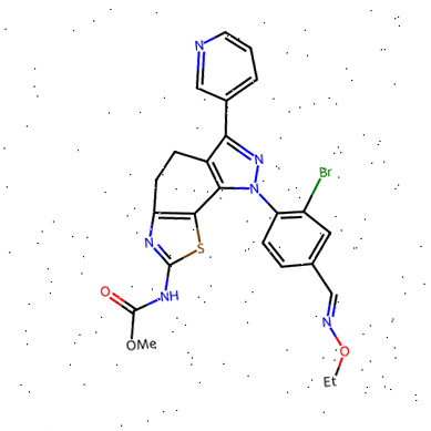 CCON=Cc1ccc(-n2nc(-c3cccnc3)c3c2-c2sc(NC(=O)OC)nc2CC3)c(Br)c1